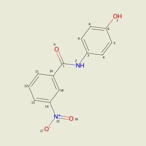 O=C(Nc1ccc(O)cc1)c1cccc([N+](=O)[O-])c1